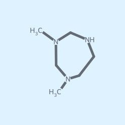 CN1CCNCN(C)C1